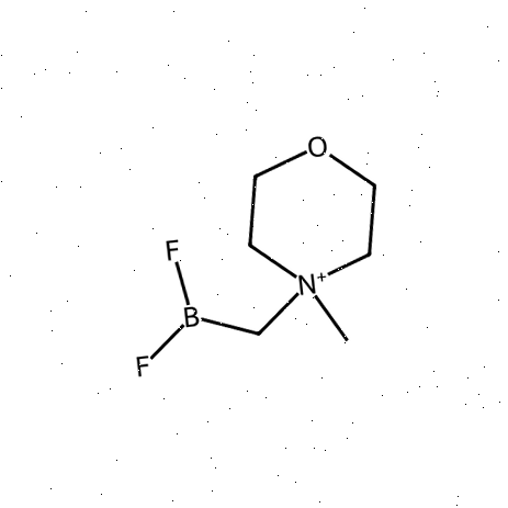 C[N+]1(CB(F)F)CCOCC1